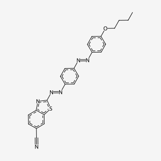 CCCCOc1ccc(N=Nc2ccc(N=Nc3nc4ccc(C#N)cc4s3)cc2)cc1